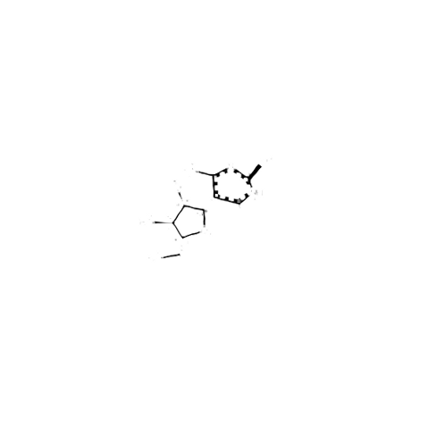 Nc1nc(=O)[nH]cc1[C@@H]1O[C@H](CO)[C@@H](O)[C@H]1O